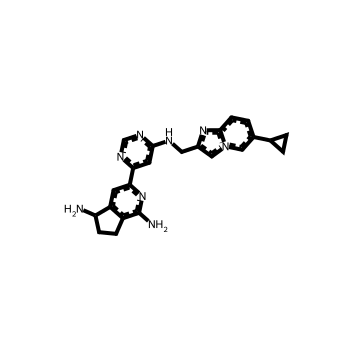 Nc1nc(-c2cc(NCc3cn4cc(C5CC5)ccc4n3)ncn2)cc2c1CCC2N